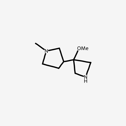 COC1(C2CCN(C)C2)CNC1